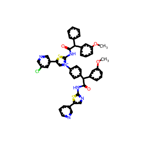 COc1cccc(C(C(=O)Nc2ncc(-c3cccnc3)s2)c2ccc(-[n+]3cc(-c4cncc(Cl)c4)sc3NC(=O)C(c3ccccc3)c3cccc(OC)c3)cc2)c1